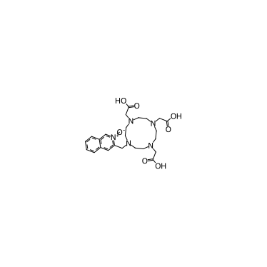 O=C(O)CN1CCN(CC(=O)O)CCN(Cc2cc3ccccc3c[n+]2[O-])CCN(CC(=O)O)CC1